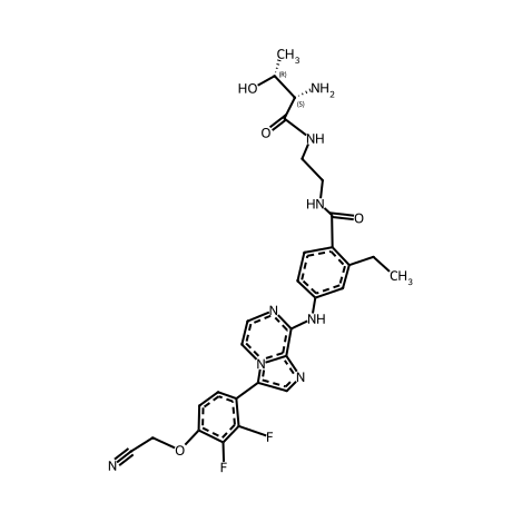 CCc1cc(Nc2nccn3c(-c4ccc(OCC#N)c(F)c4F)cnc23)ccc1C(=O)NCCNC(=O)[C@@H](N)[C@@H](C)O